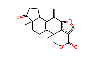 C=C1C2=C(CCC3(C)C(=O)CCC23)C2(C)COC(=O)c3coc1c32